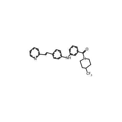 O=C(c1cccc(Nc2ccc(/C=C/c3ccccn3)cc2)c1)N1CCC(C(F)(F)F)CC1